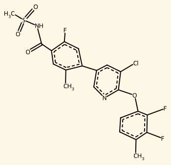 Cc1cc(C(=O)NS(C)(=O)=O)c(F)cc1-c1cnc(Oc2ccc(C)c(F)c2F)c(Cl)c1